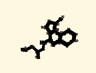 CC(C)(C)OC(=O)CNc1nc2ccccc2n2c(Br)cnc12